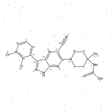 CC1(NC(=O)O)CCN(c2nc3[nH]nc(-c4cccc(Cl)c4Cl)c3nc2C#N)CC1